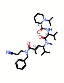 C/C(=C\C(C(C)C)N(C)C(=O)[C@@H](NC(=O)[C@H]1CCCCN1C(C)C)C(C)C)C(=O)N(CCC#N)Cc1ccccc1